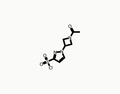 CC(=O)N1CC(n2ccc(S(=O)(=O)Cl)n2)C1